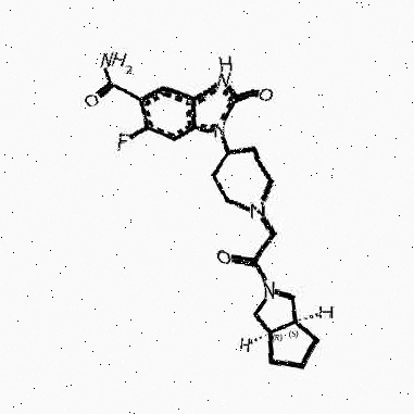 NC(=O)c1cc2[nH]c(=O)n(C3CCN(CC(=O)N4C[C@H]5CCC[C@H]5C4)CC3)c2cc1F